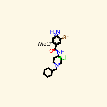 COc1cc(N)c(Br)cc1C(=O)NC1CCN(CC2CCCCC2)CC1.Cl